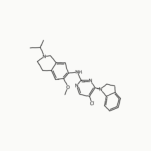 COc1cc2c(cc1Nc1ncc(Cl)c(N3CCC4=C=C=CC=C43)n1)CN(C(C)C)CC2